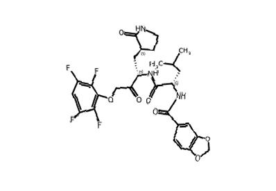 CC(C)C[C@H](NC(=O)c1ccc2c(c1)OCO2)C(=O)N[C@@H](C[C@@H]1CCNC1=O)C(=O)COc1c(F)c(F)cc(F)c1F